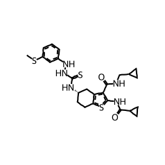 CSc1cccc(NNC(=S)N[C@H]2CCc3sc(NC(=O)C4CC4)c(C(=O)NCC4CC4)c3C2)c1